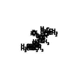 Cc1cc(C(C)(C)C)ccc1-c1cc(OCc2ccccc2)c(CCNC(=O)[C@H](C)NC(=O)OC(C)(C)C)c(C)n1